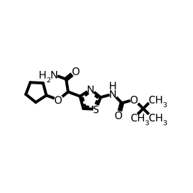 CC(C)(C)OC(=O)Nc1nc(C(OC2CCCC2)C(N)=O)cs1